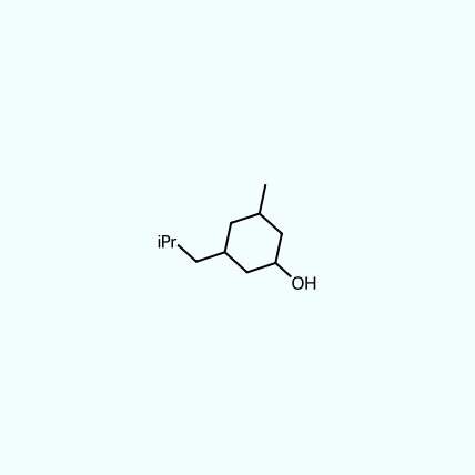 CC(C)CC1CC(C)CC(O)C1